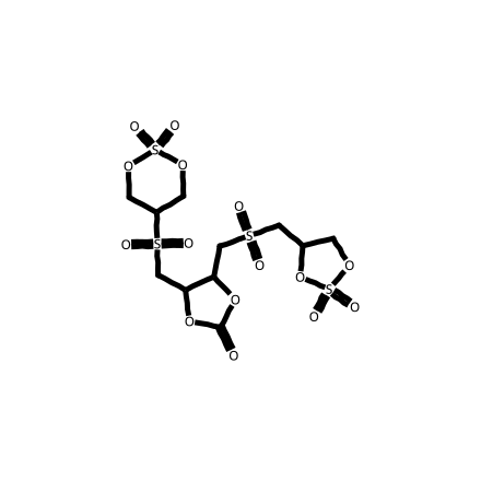 O=C1OC(CS(=O)(=O)CC2COS(=O)(=O)O2)C(CS(=O)(=O)C2COS(=O)(=O)OC2)O1